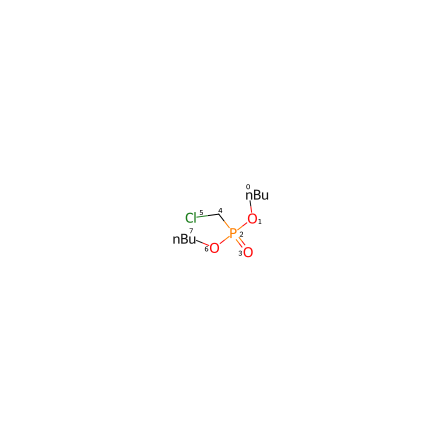 CCCCOP(=O)(CCl)OCCCC